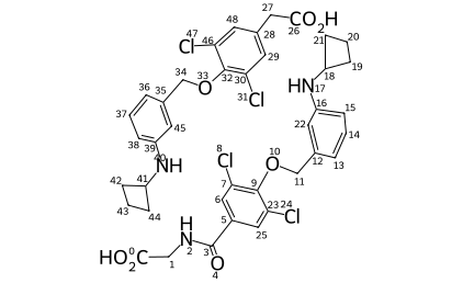 O=C(O)CNC(=O)c1cc(Cl)c(OCc2cccc(NC3CCC3)c2)c(Cl)c1.O=C(O)Cc1cc(Cl)c(OCc2cccc(NC3CCC3)c2)c(Cl)c1